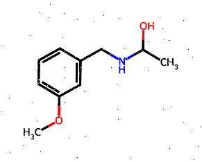 COc1cccc(CNC(C)O)c1